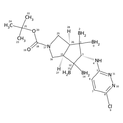 BC1(B)[C@H](Nc2ccc(Cl)nn2)C(B)(B)[C@H]2CN(C(=O)OC(C)(C)C)C[C@H]21